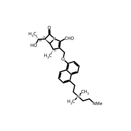 CNCC[N+](C)(C)CCc1cccc2c(OCC3=C(C=O)N4C(=O)[C@H]([C@@H](C)O)C4[C@H]3C)cccc12